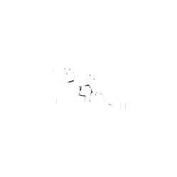 COC(=O)c1c(C(F)(F)F)nn(CCO)c1N